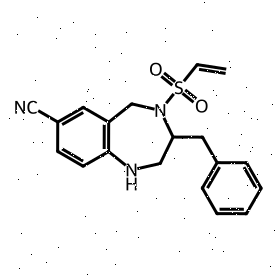 C=CS(=O)(=O)N1Cc2cc(C#N)ccc2NCC1Cc1ccccc1